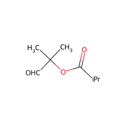 CC(C)C(=O)OC(C)(C)C=O